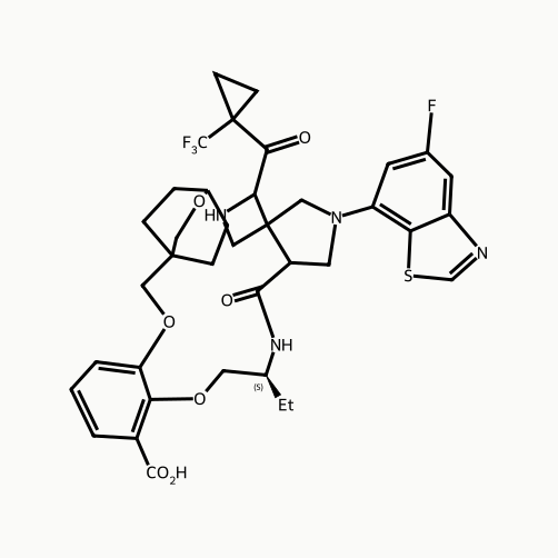 CC[C@@H](COc1c(OCC23CCC(CC2)OC3)cccc1C(=O)O)NC(=O)C1CN(c2cc(F)cc3ncsc23)CC12CNC2C(=O)C1(C(F)(F)F)CC1